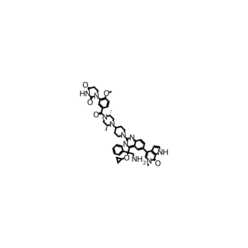 COc1ccc(C(=O)N2C[C@H](C)N(C3CCN(c4nc(C(CN)(OC5CC5)c5ccccc5)c5cc(-c6cn(C)c(=O)c7[nH]ccc67)ccc5n4)CC3)C[C@H]2C)cc1N1CCC(=O)NC1=O